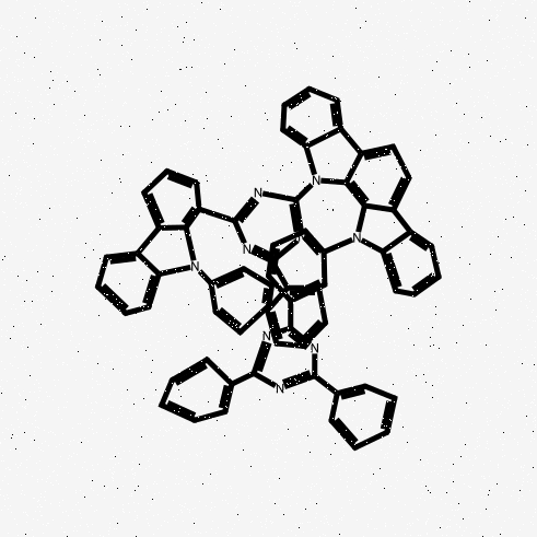 c1ccc(-c2nc(-c3ccccc3)nc(-c3cccc(-n4c5ccccc5c5ccc6c7ccccc7n(-c7nc(-c8ccccc8)nc(-c8cccc9c%10ccccc%10n(-c%10ccccc%10)c89)n7)c6c54)c3)n2)cc1